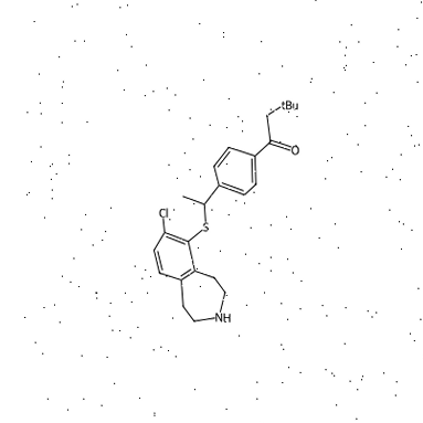 CC(Sc1c(Cl)ccc2c1CCNCC2)c1ccc(C(=O)CC(C)(C)C)cc1